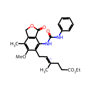 CCOC(=O)CC/C(C)=C/Cc1c(NC(=O)Nc2ccccc2)c2c(c(C)c1OC)COC2=O